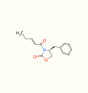 CC/C=C/C(=O)N1C(=O)OC[C@@H]1Cc1ccccc1